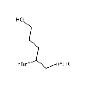 CCCCCCC(CCCC)CCCO